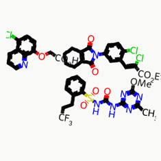 CCOC(=O)/C(Cl)=C/c1cc(N2C(=O)C3=C(CCCC3)C2=O)ccc1Cl.COc1nc(C)nc(NC(=O)NS(=O)(=O)c2ccccc2CCC(F)(F)F)n1.O=C(O)COc1ccc(Cl)c2cccnc12